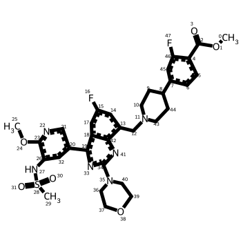 COC(=O)c1ccc(C2CCN(Cc3cc(F)cc4c(-c5cnc(OC)c(NS(C)(=O)=O)c5)nc(N5CCOCC5)nc34)CC2)cc1F